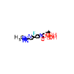 Cn1nnc(-c2ccc(-c3ccc(N4C[C@H](CC5(OP(=O)(O)O)CC5)OC4=O)cc3F)cn2)n1